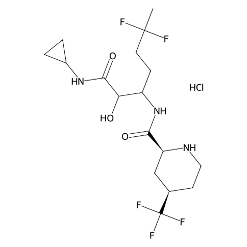 CC(F)(F)CCC(NC(=O)[C@@H]1C[C@H](C(F)(F)F)CCN1)C(O)C(=O)NC1CC1.Cl